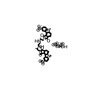 CS(=O)(=O)O.CS(=O)(=O)O.C[C@H](CN1C(=O)c2ccc3c(c2C1=O)c1cc([N+](=O)[O-])ccc1n3C)NCCN[C@H](C)CN1C(=O)c2ccc3c(c2C1=O)c1cc([N+](=O)[O-])ccc1n3C